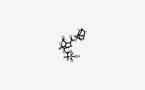 CC1(OC(=O)C2C3CC4C2C(=O)O[C@H]4C3OC(=O)C(F)(F)S(=O)(=O)O)C2CC3CC(C2)CC1C3